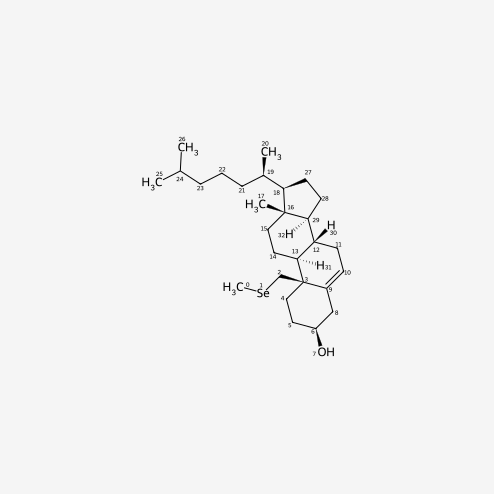 C[Se]C[C@]12CC[C@H](O)CC1=CC[C@@H]1[C@@H]2CC[C@]2(C)[C@@H]([C@H](C)CCCC(C)C)CC[C@@H]12